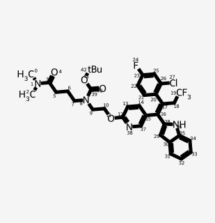 CN(C)C(=O)CCCN(CCOc1ccc(/C(=C(/CC(F)(F)F)c2ccc(F)cc2Cl)c2cc3ccccc3[nH]2)cn1)C(=O)OC(C)(C)C